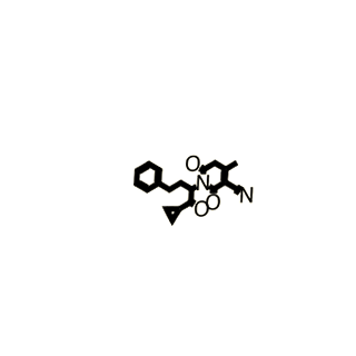 CC1=C(C#N)C(=O)N(C(CCc2ccccc2)C(=O)C2CC2)C(=O)C1